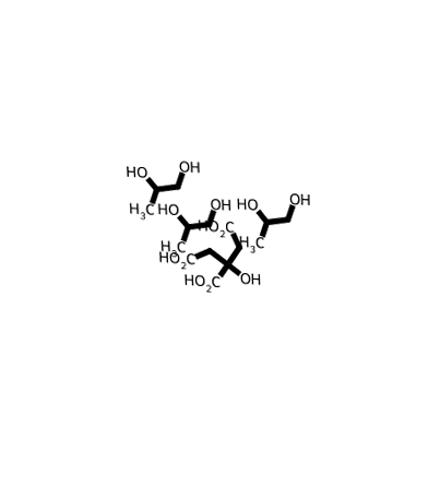 CC(O)CO.CC(O)CO.CC(O)CO.O=C(O)CC(O)(CC(=O)O)C(=O)O